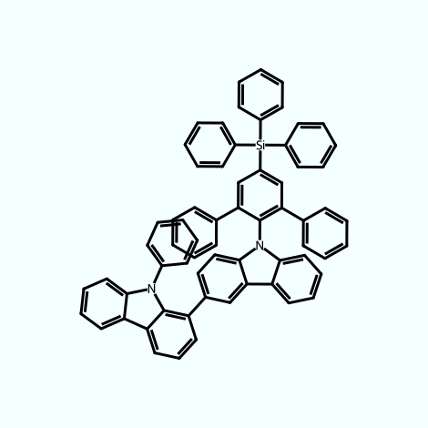 c1ccc(-c2cc([Si](c3ccccc3)(c3ccccc3)c3ccccc3)cc(-c3ccccc3)c2-n2c3ccccc3c3cc(-c4cccc5c6ccccc6n(-c6ccccc6)c45)ccc32)cc1